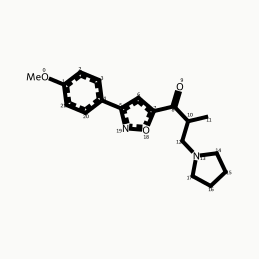 COc1ccc(-c2cc(C(=O)C(C)CN3CCCC3)on2)cc1